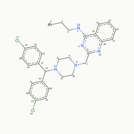 CC(C)CCNc1nc(CN2CCN(C(c3ccc(Cl)cc3)c3ccc(Cl)cc3)CC2)nc2ccccc12